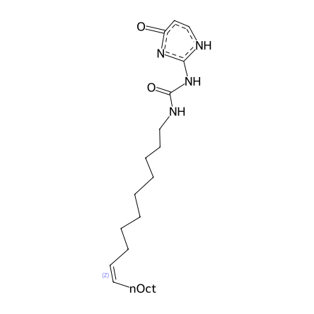 CCCCCCCC/C=C\CCCCCCCCNC(=O)Nc1nc(=O)cc[nH]1